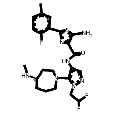 CN[C@@H]1CCCN(c2c(NC(=O)c3nc(-c4cc(C)ccc4F)sc3N)cnn2CC(F)F)CC1